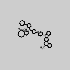 C=C(/C=C\C(=C/C)n1c2ccccc2c2cc3c(cc21)CC(C)c1ccccc1-3)c1ccc(N(c2cccc(C3=CC=CCCC3)c2)c2ccc3c(c2)C(C)(C)C/C=C\C=C/C3)cc1